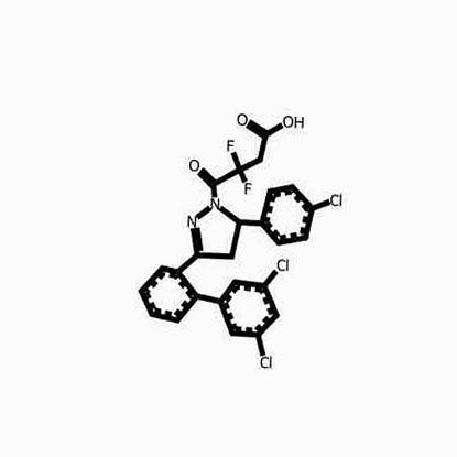 O=C(O)CC(F)(F)C(=O)N1N=C(c2ccccc2-c2cc(Cl)cc(Cl)c2)CC1c1ccc(Cl)cc1